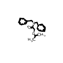 CC(C)OCC(=O)N(Cc1ccccc1)Cc1ccccc1